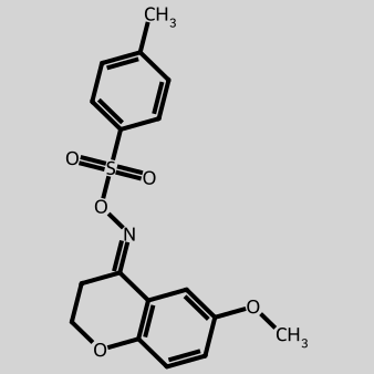 COc1ccc2c(c1)C(=NOS(=O)(=O)c1ccc(C)cc1)CCO2